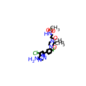 CC1(C)C(=O)N(c2cc(-c3cc(Cl)c4c(N)ncnn34)ccc2F)CCN1C(=O)CCNS(C)(=O)=O